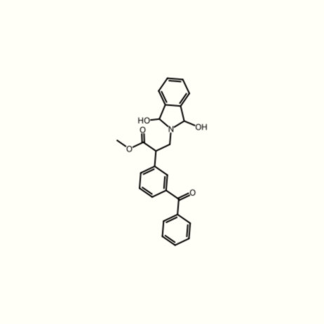 COC(=O)C(CN1C(O)c2ccccc2C1O)c1cccc(C(=O)c2ccccc2)c1